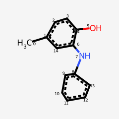 Cc1ccc(O)c(Nc2ccccc2)c1